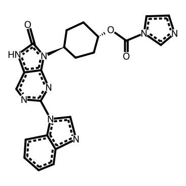 O=C(O[C@H]1CC[C@H](n2c(=O)[nH]c3cnc(-n4cnc5ccccc54)nc32)CC1)n1ccnc1